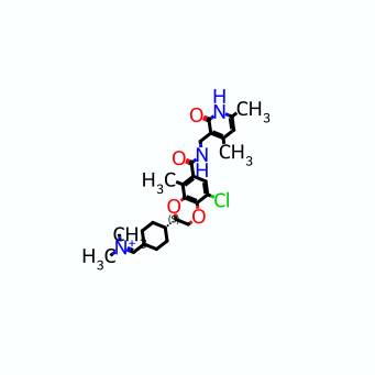 Cc1cc(C)c(CNC(=O)c2cc(Cl)c3c(c2C)O[C@@H](C2CCC(C=[N+](C)C)CC2)CO3)c(=O)[nH]1